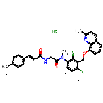 Cc1ccc(C=CC(=O)NCC(=O)N(C)c2ccc(Cl)c(COc3cccc4ccc(C)nc34)c2Cl)cc1.Cl